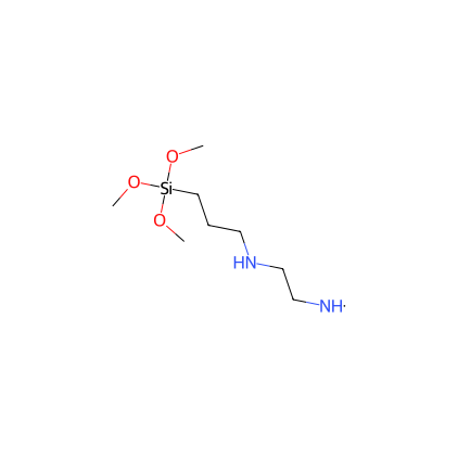 CO[Si](CCCNCC[NH])(OC)OC